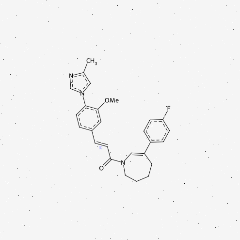 COc1cc(/C=C/C(=O)N2C=C(c3ccc(F)cc3)CCCC2)ccc1-n1cnc(C)c1